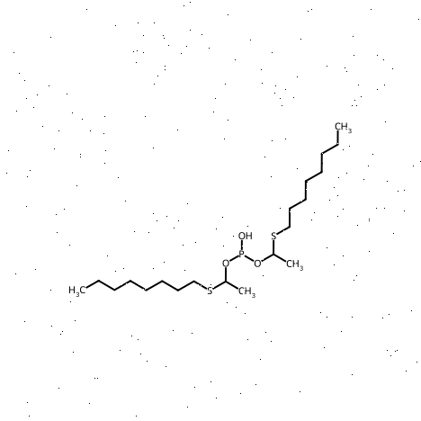 CCCCCCCCSC(C)OP(O)OC(C)SCCCCCCCC